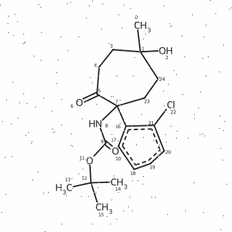 CC1(O)CCC(=O)C(NC(=O)OC(C)(C)C)(c2ccccc2Cl)CC1